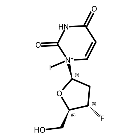 O=C1C=C[N+](I)([C@H]2C[C@H](F)[C@@H](CO)O2)C(=O)N1